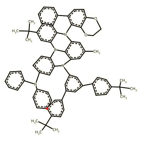 Cc1cc2c3c(c1)N(c1c(-c4ccccc4)ccc4c1OCCO4)c1ccc(C(C)(C)C)cc1B3c1ccc(N(c3ccccc3)c3ccccc3)cc1N2c1cc(-c2ccc(C(C)(C)C)cc2)cc(-c2ccc(C(C)(C)C)cc2)c1